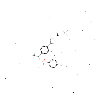 COc1cc(C(OS(=O)(=O)c2ccc(C)cc2)C(F)(F)F)ccc1C1CN(C(=O)OC(C)(C)C)C1